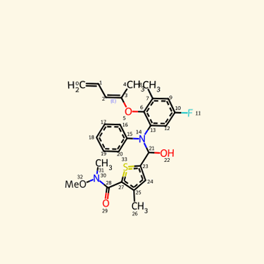 C=C/C=C(\C)Oc1c(C)cc(F)cc1N(c1ccccc1)C(O)c1cc(C)c(C(=O)N(C)OC)s1